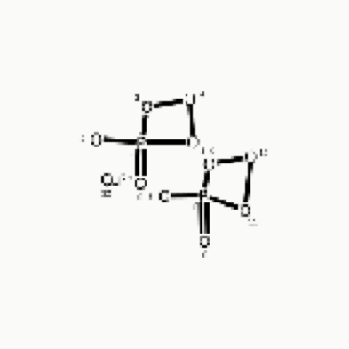 O=P1([O-])OOO1.O=P1([O-])OOO1.[Cu+2]